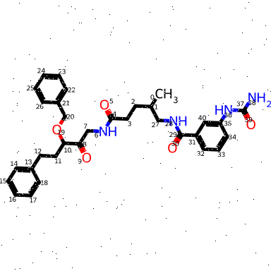 CC(CCC(=O)NCC(=O)C(CCc1ccccc1)OCc1ccccc1)CNC(=O)c1cccc(NC(N)=O)c1